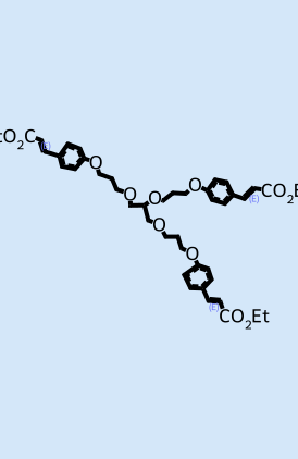 CCOC(=O)/C=C/c1ccc(OCCCOCC(COCCCOc2ccc(/C=C/C(=O)OCC)cc2)OCCCOc2ccc(/C=C/C(=O)OCC)cc2)cc1